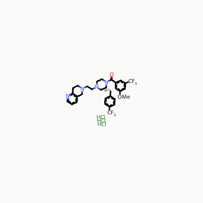 COc1cc(C(=O)N2CCN(CCN3CCc4ncccc4C3)C[C@H]2Cc2ccc(C(F)(F)F)cc2)cc(C(F)(F)F)c1.Cl.Cl.Cl